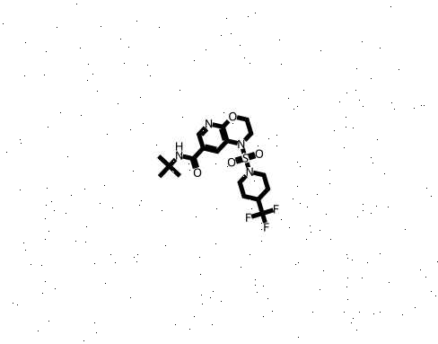 CC(C)(C)NC(=O)c1cnc2c(c1)N(S(=O)(=O)N1CCC(C(F)(F)F)CC1)CCO2